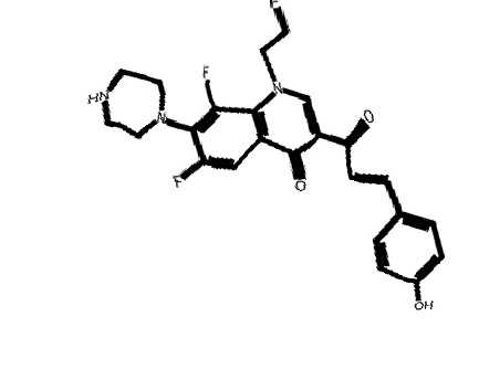 O=C(C=Cc1ccc(O)cc1)c1cn(CCF)c2c(F)c(N3CCNCC3)c(F)cc2c1=O